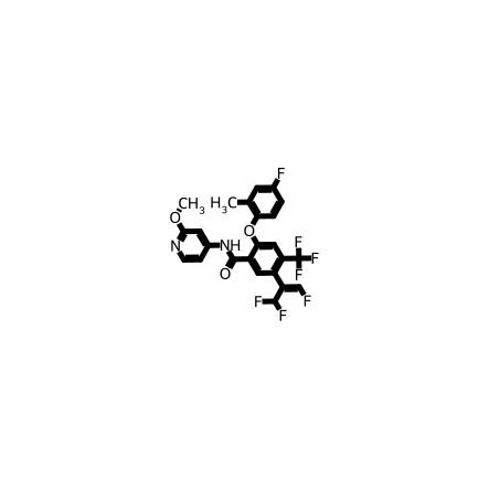 COc1cc(NC(=O)c2cc(C(=CF)C(F)F)c(C(F)(F)F)cc2Oc2ccc(F)cc2C)ccn1